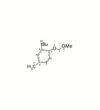 COCOc1ccc(C)cc1C(C)(C)C